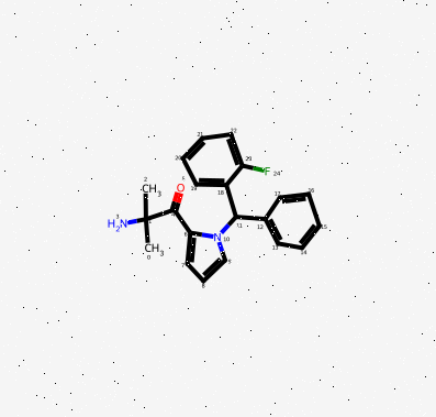 CC(C)(N)C(=O)c1cccn1C(c1ccccc1)c1ccccc1F